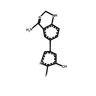 NC1=NCNc2ccc(-c3cnc(F)c(O)c3)cc21